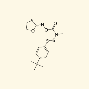 CN(SSc1ccc(C(C)(C)C)cc1)C(=O)ON=C1OCCS1